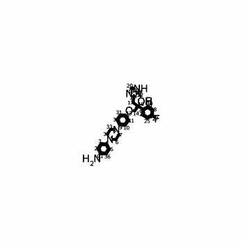 Nc1ccc(N2CCN(c3ccc(OCC(O)(Cc4nc[nH]n4)c4ccc(F)cc4F)cc3)CC2)cc1